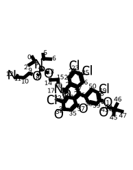 CC(C)N(C(C)C)P(OCCC#N)OCCN(C)C(=O)c1cc(Cl)c(Cl)cc1-c1c2cc(Cl)c(=O)cc-2oc2cc(OC(=O)C(C)(C)C)c(Cl)cc12